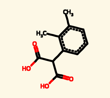 Cc1cccc(C(C(=O)O)C(=O)O)c1C